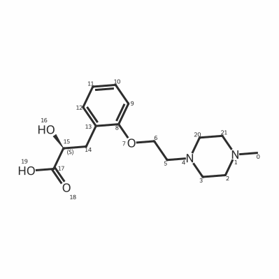 CN1CCN(CCOc2ccccc2C[C@H](O)C(=O)O)CC1